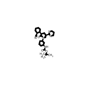 CC(C)(C)OC(=O)Nc1cccc(-n2cc(-c3ncccn3)cc(-c3ccccc3C#N)c2=O)c1